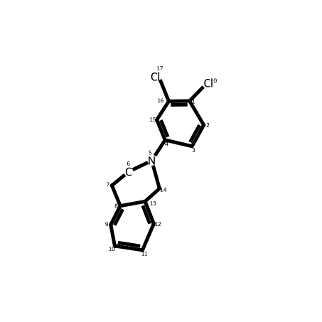 Clc1ccc(N2CCc3ccccc3C2)cc1Cl